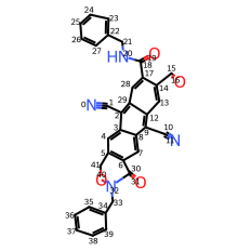 N#Cc1c2cc3c(cc2c(C#N)c2cc(C=O)c(C(=O)NCc4ccccc4)cc12)C(=O)N(Cc1ccccc1)OC3